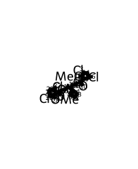 COc1c(Cl)cc(Cl)cc1C(=O)OCCN(CCOC(=O)c1c(Cl)ccc(Cl)c1OC)c1ccccc1